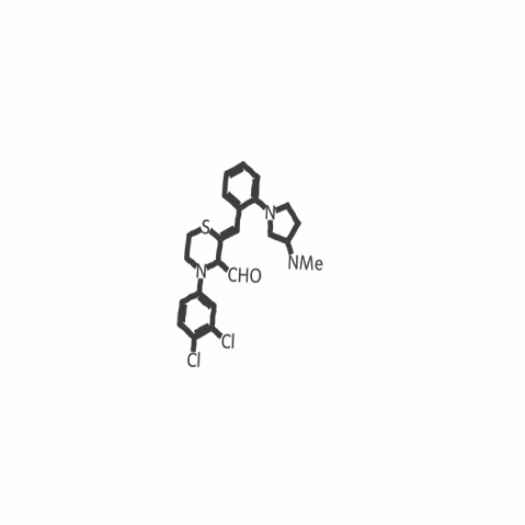 CNC1CCN(c2ccccc2C=C2SCCN(c3ccc(Cl)c(Cl)c3)C2C=O)C1